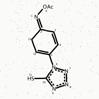 CC(=O)ON=C1C=CC(n2nnnc2S)=CC1